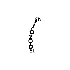 CCc1ccc(C2CCC(OCC3CCC(CCC=CC=CC#N)CC3)CC2)cc1